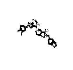 Cc1ccc(-n2cc3c(N4CCCC(C(=O)NCc5ccc6sccc6c5)C4)ncnc3n2)cc1F